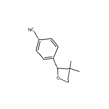 CC1(C)COC1c1ccc(C#N)cc1